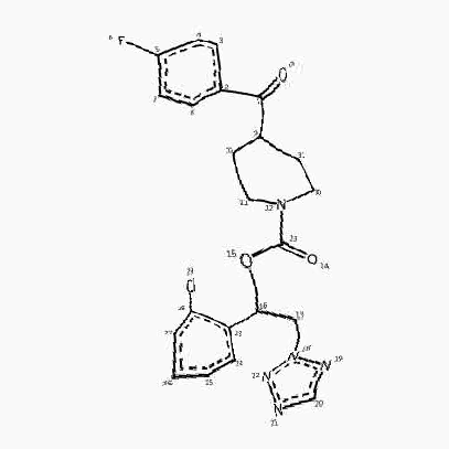 O=C(c1ccc(F)cc1)C1CCN(C(=O)OC(Cn2ncnn2)c2ccccc2Cl)CC1